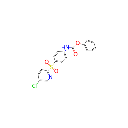 O=C(Nc1ccc(S(=O)(=O)c2ccc(Cl)cn2)cc1)Oc1ccccc1